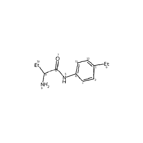 CCc1ccc(NC(=O)C(N)CC)cc1